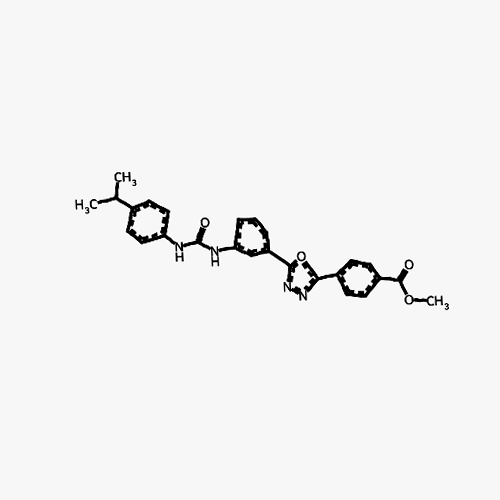 COC(=O)c1ccc(-c2nnc(-c3cccc(NC(=O)Nc4ccc(C(C)C)cc4)c3)o2)cc1